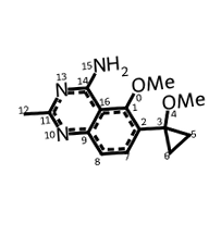 COc1c(C2(OC)CC2)ccc2nc(C)nc(N)c12